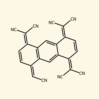 N#C/C=c1/ccc(=C(C#N)C#N)c2cc3c(=C(C#N)C#N)ccc(=C(C#N)C#N)c3cc12